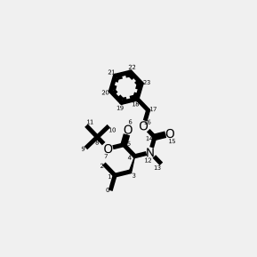 CC(C)C[C@@H](C(=O)OC(C)(C)C)N(C)C(=O)OCc1ccccc1